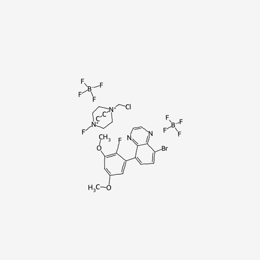 COc1cc(OC)c(F)c(-c2ccc(Br)c3nccnc23)c1.F[B-](F)(F)F.F[B-](F)(F)F.F[N+]12CC[N+](CCl)(CC1)CC2